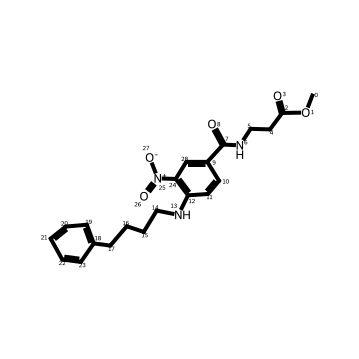 COC(=O)CCNC(=O)c1ccc(NCCCCc2ccccc2)c([N+](=O)[O-])c1